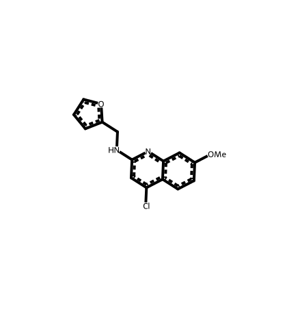 COc1ccc2c(Cl)cc(NCc3ccco3)nc2c1